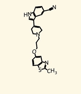 Cc1nc2cc(OCCCN3CC=C(c4c[nH]c5ccc(C#N)cc45)CC3)ccc2s1